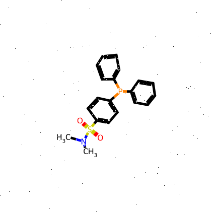 CN(C)S(=O)(=O)c1ccc(P(c2ccccc2)c2ccccc2)cc1